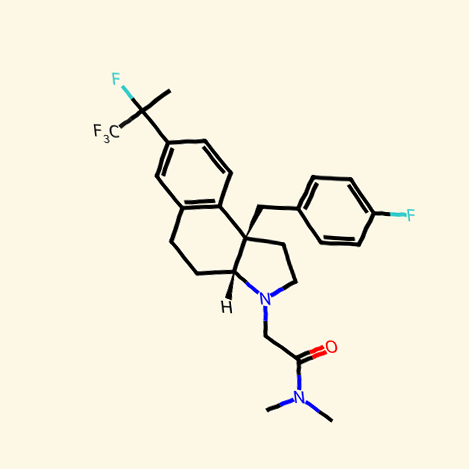 CN(C)C(=O)CN1CC[C@@]2(Cc3ccc(F)cc3)c3ccc(C(C)(F)C(F)(F)F)cc3CC[C@@H]12